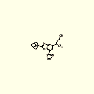 N#CCOC(c1cc(-c2nccs2)c2oc(N3CC4CC(C3)N4)nc2c1)C(F)(F)F